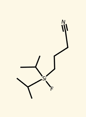 CC(C)[Si](F)(CCCC#N)C(C)C